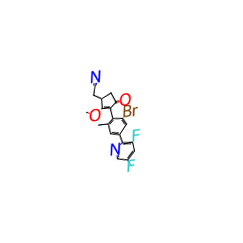 COC1=C(c2c(C)cc(-c3ncc(F)cc3F)cc2Br)C(=O)CC1CC#N